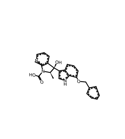 CCN(C(=O)O)[C@H](C)[C@](O)(c1cccnc1)c1c[nH]c2c(OCc3ccccc3)cccc12